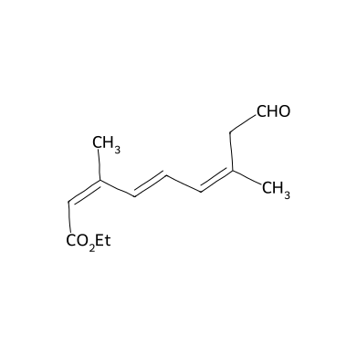 CCOC(=O)C=C(C)C=CC=C(C)CC=O